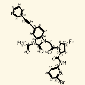 CC(=O)n1c(=O)n(CC(=O)N2C[C@H](F)C[C@H]2C(=O)Nc2cccc(Br)n2)c2ccc(C#Cc3cccnc3)cc21